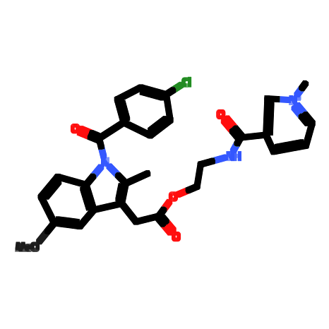 COc1ccc2c(c1)c(CC(=O)OCCNC(=O)c1ccc[n+](C)c1)c(C)n2C(=O)c1ccc(Cl)cc1